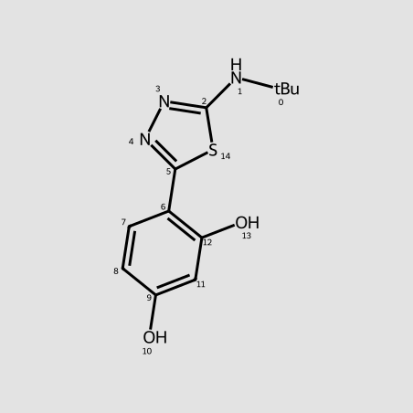 CC(C)(C)Nc1nnc(-c2ccc(O)cc2O)s1